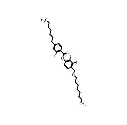 CCCCCCCCOCc1ccc(OC(=O)c2ccc(CCCCCCC)cc2F)c(F)c1F